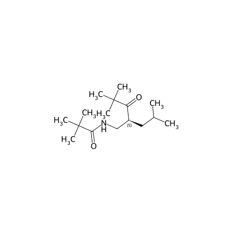 CC(C)C[C@@H](CNC(=O)C(C)(C)C)C(=O)C(C)(C)C